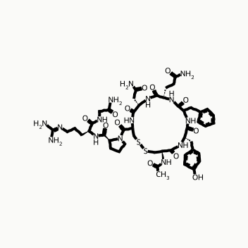 CC(=O)N[C@H]1CSSCC(C(=O)N2CCC[C@H]2C(=O)N[C@@H](CCCN=C(N)N)C(=O)NCC(N)=O)NC(=O)[C@H](CC(N)=O)NC(=O)[C@H](CCC(N)=O)NC(=O)C(Cc2ccccc2)NC(=O)[C@H](Cc2ccc(O)cc2)NC1=O